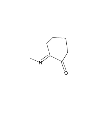 C/N=C1\CCCCC1=O